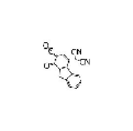 N#CCC#N.O=C=C1C=CC2=C(Cc3ccccc32)C1=O